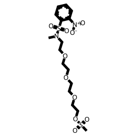 CN(CCOCCOCCOCCOS(C)(=O)=O)S(=O)(=O)c1ccccc1[N+](=O)[O-]